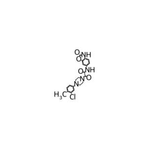 Cc1ccc(N2CCN(C(=O)C(=O)Nc3ccc4[nH]c(=O)oc4c3)CC2)cc1Cl